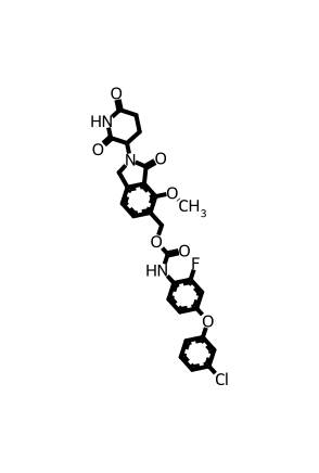 COc1c(COC(=O)Nc2ccc(Oc3cccc(Cl)c3)cc2F)ccc2c1C(=O)N(C1CCC(=O)NC1=O)C2